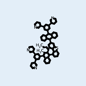 C=C/C=C\c1c(C)c(-c2cc(-c3cccnc3)cc(-c3cccnc3)c2)c2ccccc2c1-c1cccc2sc3cc(-c4c5ccccc5c(-c5cc(-c6cccnc6)cc(-c6cccnc6)c5)c5ccccc45)ccc3c12